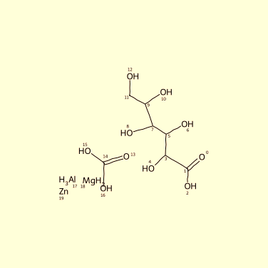 O=C(O)C(O)C(O)C(O)C(O)CO.O=C(O)O.[AlH3].[MgH2].[Zn]